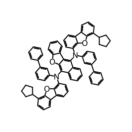 c1ccc(-c2cccc(N(c3cccc4c3oc3c(C5CCCC5)cccc34)c3c4ccccc4c(N(c4cccc(-c5ccccc5)c4)c4cccc5c4oc4c(C6CCCC6)cccc45)c4c3oc3ccccc34)c2)cc1